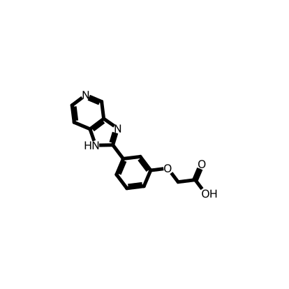 O=C(O)COc1cccc(-c2nc3cnccc3[nH]2)c1